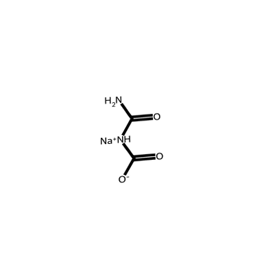 NC(=O)NC(=O)[O-].[Na+]